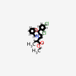 CCOC(=O)C(CC)c1ccc(C(=O)c2ccc(Cl)cc2Cl)n1Cc1ccccc1